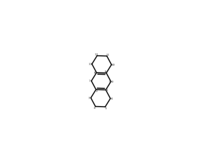 [C]1C2=C(CCCC2)CC2=C1CCCC2